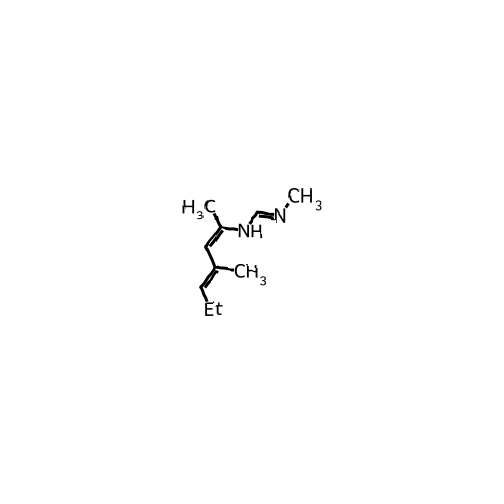 CC/C=C(C)/C=C(/C)N/C=N/C